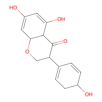 O=C1C(C2=CCC(O)C=C2)COC2C=C(O)C=C(O)C12